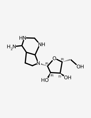 NC1NCNC2C1CCN2[C@@H]1O[C@H](CO)[C@@H](O)[C@H]1O